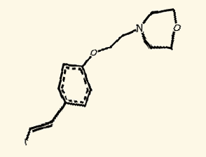 IC=Cc1ccc(OCCN2CCOCC2)cc1